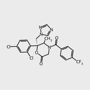 CC1N(C(=O)c2ccc(C(F)(F)F)cc2)CC(=O)O[C@@]1(Cn1cncn1)c1ccc(Cl)cc1Cl